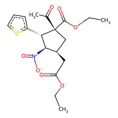 CCOC(=O)C[C@@H]1C[C@@](C(C)=O)(C(=O)OCC)[C@@H](c2cccs2)[C@@H]1[N+](=O)[O-]